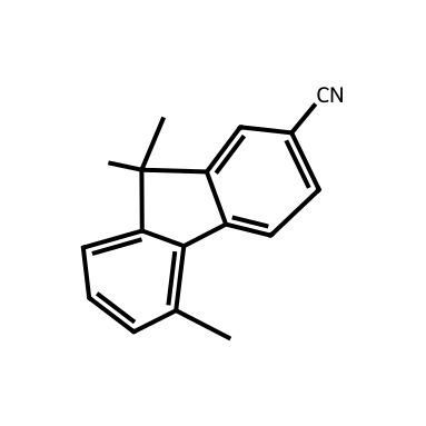 Cc1cccc2c1-c1ccc(C#N)cc1C2(C)C